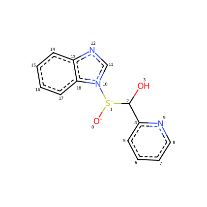 [O-][S+](C(O)c1ccccn1)n1cnc2ccccc21